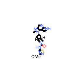 COc1nsc(NC(=O)N2C[C@H]3C[C@H](n4c(C)nc5cnc6[nH]ccc6c54)C[C@H]3C2)n1